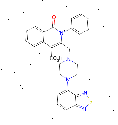 O=C(O)c1c(CN2CCN(c3cccc4nsnc34)CC2)n(-c2ccccc2)c(=O)c2ccccc12